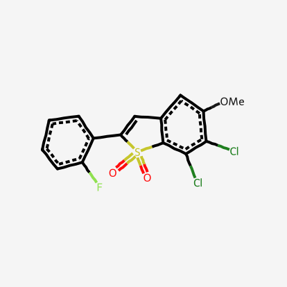 COc1cc2c(c(Cl)c1Cl)S(=O)(=O)C(c1ccccc1F)=C2